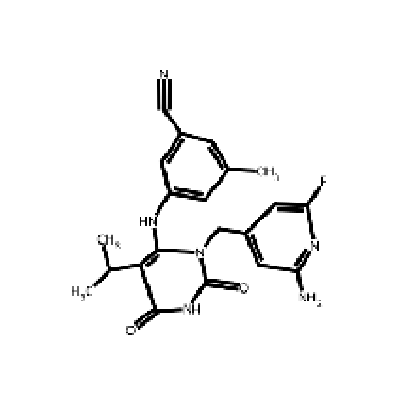 Cc1cc(C#N)cc(Nc2c(C(C)C)c(=O)[nH]c(=O)n2Cc2cc(N)nc(F)c2)c1